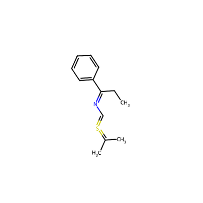 CC/C(=N\C=S=C(C)C)c1ccccc1